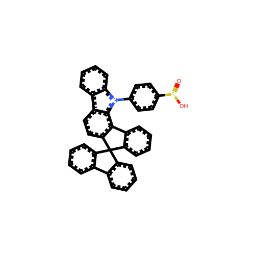 O=S(O)c1ccc(-n2c3ccccc3c3ccc4c(c32)-c2ccccc2C42c3ccccc3-c3ccccc32)cc1